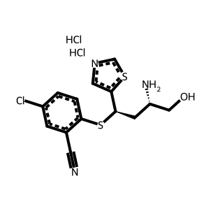 Cl.Cl.N#Cc1cc(Cl)ccc1S[C@H](C[C@H](N)CO)c1cncs1